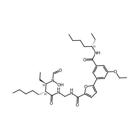 CCCCC[C@@H](C(=O)NCNC(=O)c1ccc(-c2cc(OCC)cc(C(=O)N[C@@H](CC)CCCC)c2)o1)[C@@H](CC)N(O)C=O